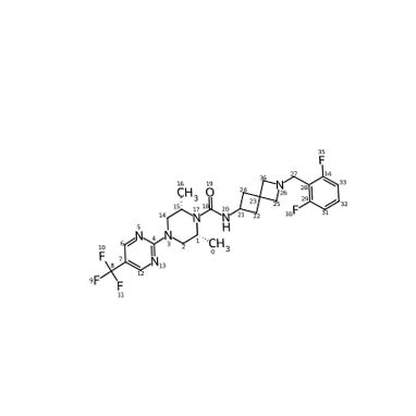 C[C@@H]1CN(c2ncc(C(F)(F)F)cn2)C[C@H](C)N1C(=O)NC1CC2(C1)CN(Cc1c(F)cccc1F)C2